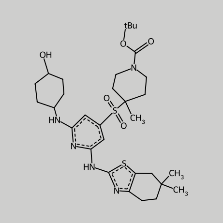 CC1(C)CCc2nc(Nc3cc(S(=O)(=O)C4(C)CCN(C(=O)OC(C)(C)C)CC4)cc(NC4CCC(O)CC4)n3)sc2C1